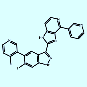 Cc1ccncc1-c1cc2c(-c3nc4c(-c5cccnc5)nccc4[nH]3)n[nH]c2cc1F